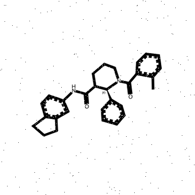 Cc1ccccc1C(=O)N1CCCC(C(=O)Nc2ccc3c(c2)CCC3)[C@@H]1c1ccccc1